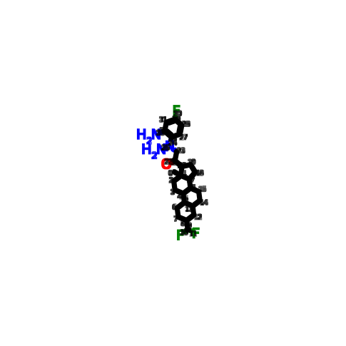 CC12CCC3C4CCC(C(F)F)CC4CCC3C1CCC2C(=O)CN(N)c1ccc(F)cc1N